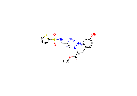 COC(=O)[C@H](Cc1ccc(O)cc1)N(N)/C=C(\N)CNS(=O)(=O)c1cccs1